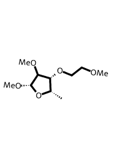 COCCO[C@H]1C(OC)[C@@H](OC)O[C@H]1C